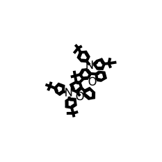 CC(C)(C)c1ccc(N(c2ccc(C(C)(C)C)cc2)c2cc3c(c4c2oc2ccccc24)-c2c(cc(N(c4ccc(C(C)(C)C)cc4)c4ccc(C(C)(C)C)cc4)c4c2oc2ccccc24)C3(C)C)cc1